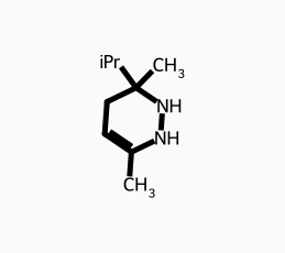 CC1=CCC(C)(C(C)C)NN1